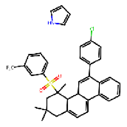 CC1(C)CC2=CC=C3c4ccccc4C(c4ccc(Cl)cc4)=CC3C2C(C)(S(=O)(=O)c2cccc(C(F)(F)F)c2)C1.c1cc[nH]c1